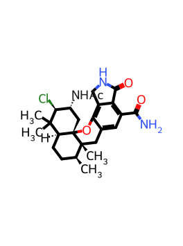 CC(=O)N[C@@H]1C[C@@]23Oc4c(cc(C(N)=O)c5c4CNC5=O)C[C@]2(C)[C@@H](C)CC[C@H]3C(C)(C)[C@H]1Cl